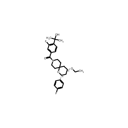 CCO[C@@H]1C[C@H](c2ccc(F)cc2)OC2(CCN(C(=O)c3ccc(C(C)(C)O)c(F)c3)CC2)C1